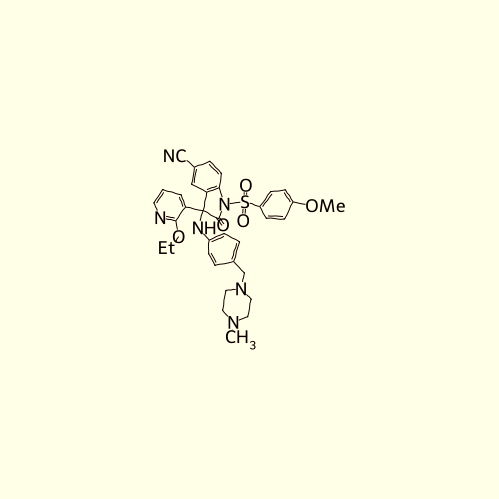 CCOc1ncccc1C1(Nc2ccc(CN3CCN(C)CC3)cc2)C(=O)N(S(=O)(=O)c2ccc(OC)cc2)c2ccc(C#N)cc21